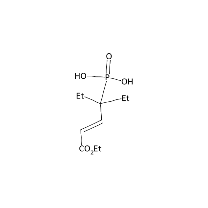 CCOC(=O)/C=C/C(CC)(CC)P(=O)(O)O